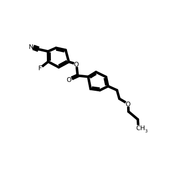 CCCOCCc1ccc(C(=O)Oc2ccc(C#N)c(F)c2)cc1